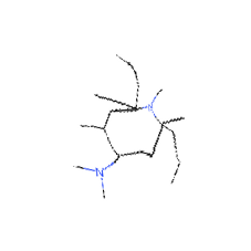 CCC1(C)CC(N(C)C)C(C)C(C)(CC)N1C